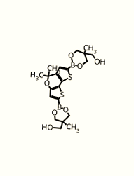 CC1(CO)COB(c2cc3c(s2)-c2sc(B4OCC(C)(CO)CO4)cc2C(C)(C)O3)OC1